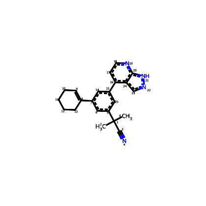 CC(C)(C#N)c1cc(C2=CCCCC2)cc(-c2ccnc3[nH]ncc23)c1